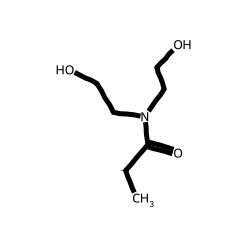 C[CH]C(=O)N(CCO)CCO